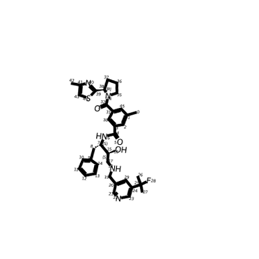 Cc1cc(C(=O)N[C@@H](Cc2ccccc2)[C@@H](O)CNCc2cncc(C(C)(C)F)c2)cc(C(=O)N2CCC[C@@H]2c2nc(C)cs2)c1